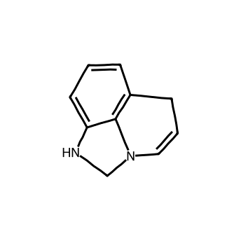 C1=CN2CNc3cccc(c32)C1